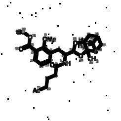 COc1c(CC(NC(=O)CCCC(C)=O)C2OC3CC4CB(C4(C)C)C3(C)O2)cccc1C(=O)OC(C)(C)C